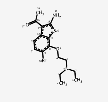 CCN(CC)CCOc1c(Br)ccc2c(C(C)=O)c(N)sc12